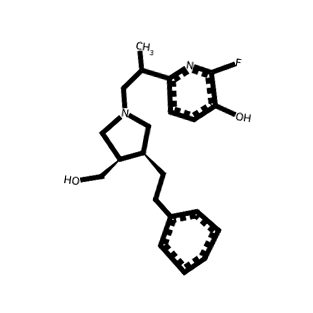 CC(CN1C[C@@H](CCc2ccccc2)[C@@H](CO)C1)c1ccc(O)c(F)n1